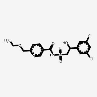 CCOCc1ccc(C(=O)NS(=O)(=O)CC(O)c2cc(Cl)cc(Cl)c2)cn1